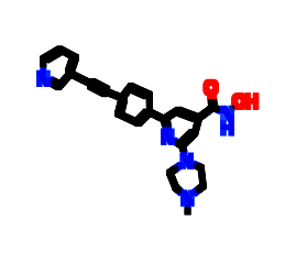 CN1CCN(c2cc(C(=O)NO)cc(-c3ccc(C#Cc4cccnc4)cc3)n2)CC1